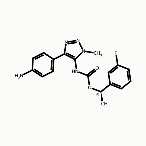 C[C@@H](OC(=O)Nc1c(-c2ccc(N)cc2)nnn1C)c1cccc(F)c1